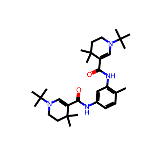 Cc1ccc(NC(=O)C2=CN(C(C)(C)C)CCC2(C)C)cc1NC(=O)C1=CN(C(C)(C)C)CCC1(C)C